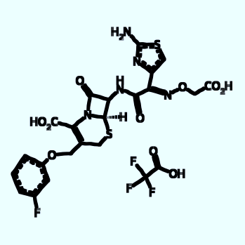 Nc1nc(/C(=N\OCC(=O)O)C(=O)NC2C(=O)N3C(C(=O)O)=C(COc4cccc(F)c4)CS[C@H]23)cs1.O=C(O)C(F)(F)F